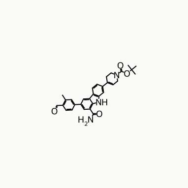 Cc1cc(-c2cc(C(N)=O)c3[nH]c4cc(C5=CCN(C(=O)OC(C)(C)C)CC5)ccc4c3c2)ccc1C=O